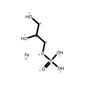 O=P(O)(O)OCC(O)CO.[Fe]